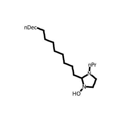 CCCCCCCCCCCCCCCCCCC1N(O)CCN1CCC